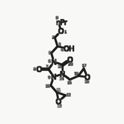 CCCOCC(O)Cn1c(=O)n(CC2CO2)n(CC2CO2)c1=O